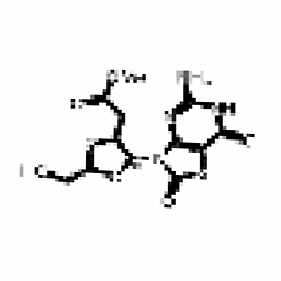 COC(=O)CC1SC(CO)O[C@H]1n1c(=O)sc2c(=O)[nH]c(N)nc21